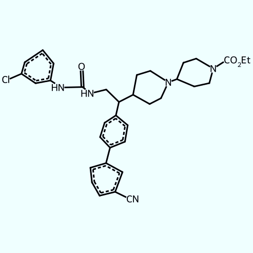 CCOC(=O)N1CCC(N2CCC(C(CNC(=O)Nc3cccc(Cl)c3)c3ccc(-c4cccc(C#N)c4)cc3)CC2)CC1